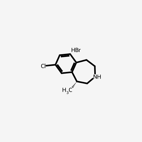 Br.C[C@H]1CNCCc2ccc(Cl)cc21